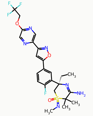 CC[C@@]1(c2cc(-c3cc(-c4cnc(OCC(F)(F)F)cn4)no3)ccc2F)CS(=O)(=NC)C(C)(C)C(N)=N1